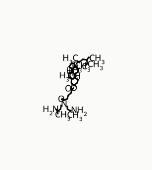 CCC(CCC(C)[C@H]1CC[C@H]2[C@@H]3CC=C4C[C@@H](OC(=O)CCCC(=O)N(CCC(C)N)CCC(C)N)CC[C@]4(C)[C@H]3CC[C@]12C)C(C)C